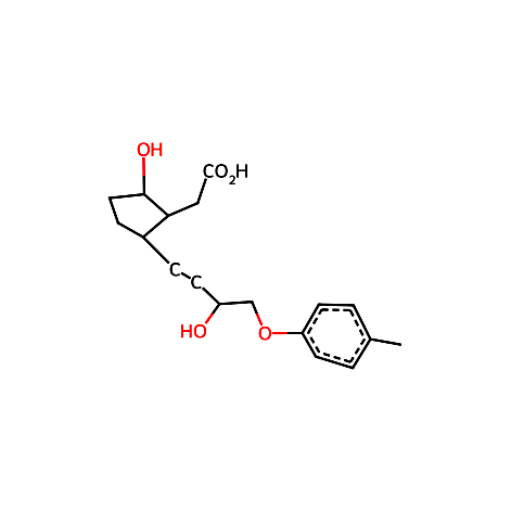 Cc1ccc(OCC(O)CCC2CCC(O)C2CC(=O)O)cc1